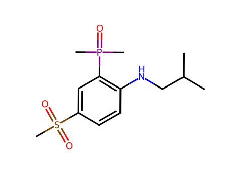 CC(C)CNc1ccc(S(C)(=O)=O)cc1P(C)(C)=O